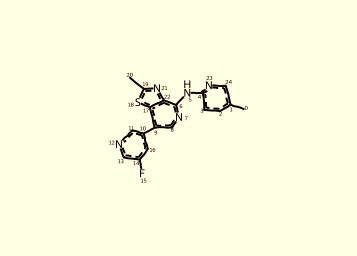 Cc1ccc(Nc2ncc(-c3cncc(F)c3)c3sc(C)nc23)nc1